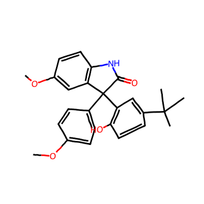 COc1ccc(C2(c3cc(C(C)(C)C)ccc3O)C(=O)Nc3ccc(OC)cc32)cc1